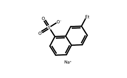 CCc1ccc2cccc(S(=O)(=O)[O-])c2c1.[Na+]